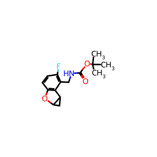 CC(C)(C)OC(=O)NCc1c(F)ccc2c1C1CC1O2